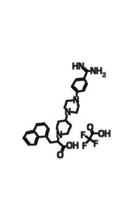 N=C(N)c1ccc(N2CCN(C3CCN(C(Cc4cccc5ccccc45)C(=O)O)CC3)CC2)cc1.O=C(O)C(F)(F)F